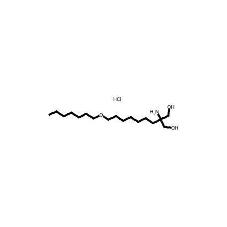 CCCCCCCOCCCCCCCC(N)(CO)CO.Cl